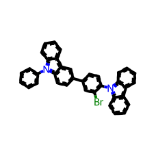 Brc1cc(-c2ccc3c(c2)c2ccccc2n3-c2ccccc2)ccc1-n1c2ccccc2c2ccccc21